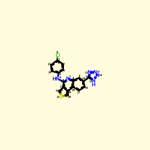 Clc1ccc(Nc2nc3cc(-c4nnn[nH]4)ccc3c3cscc23)cc1